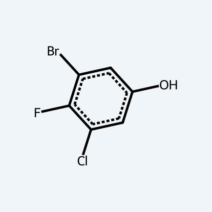 Oc1cc(Cl)c(F)c(Br)c1